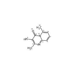 CCCc1c(C)nc2cccc(C)n2c1=O